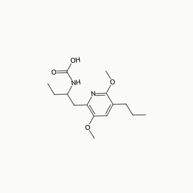 CCCc1cc(OC)c(CC(CC)NC(=O)O)nc1OC